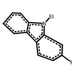 CCn1c2ccccc2c2ccc(F)cc21